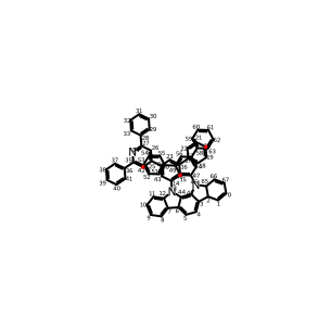 C1=CC2c3ccc4c5ccccc5n(-c5cc(-c6ccccc6)cc(-c6cc(-c7ccccc7)nc(-c7ccccc7)c6)c5)c4c3N(c3cc(-c4ccccc4)cc(-c4ccccc4)c3)C2C=C1